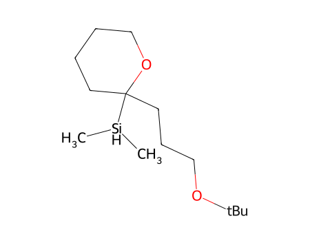 C[SiH](C)C1(CCCOC(C)(C)C)CCCCO1